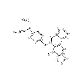 CC#CC(CC(=O)O)c1ccc(O[C@@H](Cc2ncccn2)c2ccc3cc[nH]c3c2C)cc1